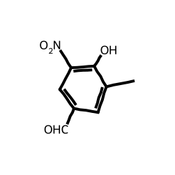 Cc1cc(C=O)cc([N+](=O)[O-])c1O